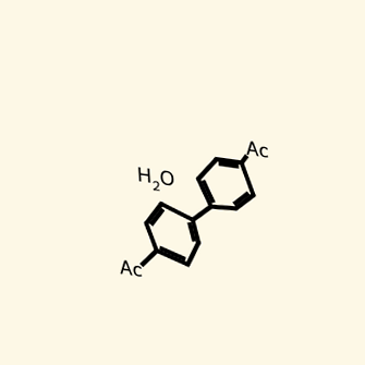 CC(=O)c1ccc(-c2ccc(C(C)=O)cc2)cc1.O